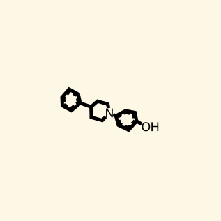 Oc1ccc(N2CCC(c3ccccc3)CC2)cc1